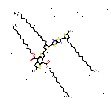 CCCCCCCCCCCCCCc1cc(C)sc1-c1nc2sc(-c3sc(-c4cc5c(C(=O)OCCCCCCCCCCCC)c6sc(C)cc6c(C(=O)OCCCCCCCCCCCC)c5s4)cc3CCCCCCCCCCCCCC)nc2s1